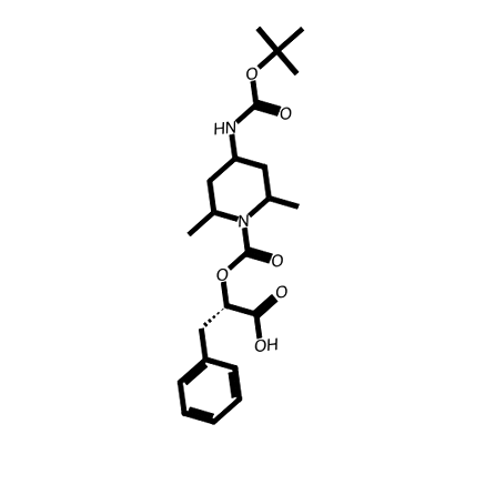 CC1CC(NC(=O)OC(C)(C)C)CC(C)N1C(=O)O[C@@H](Cc1ccccc1)C(=O)O